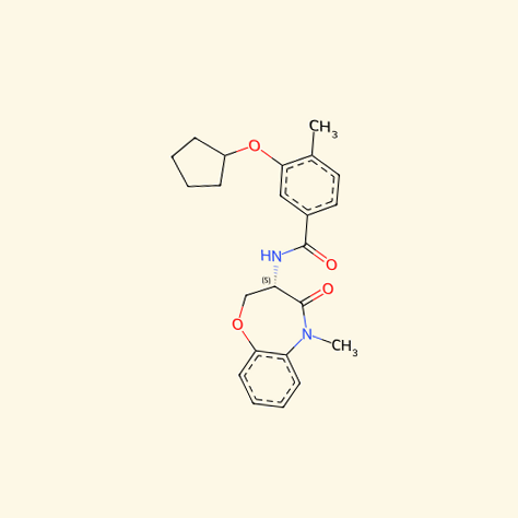 Cc1ccc(C(=O)N[C@H]2COc3ccccc3N(C)C2=O)cc1OC1CCCC1